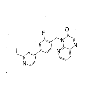 CCc1cc(-c2ccc(Cn3c(=O)cnc4cccnc43)c(F)c2)ccn1